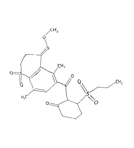 CCCS(=O)(=O)C1CCCC(=O)C1C(=O)c1cc(C)c2c(c1C)C(=NOC)CCS2(=O)=O